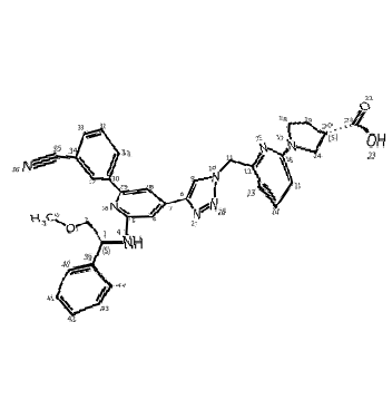 COC[C@@H](Nc1cc(-c2cn(Cc3cccc(N4CC[C@H](C(=O)O)C4)n3)nn2)cc(-c2cccc(C#N)c2)n1)c1ccccc1